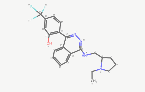 CCN1CCCC1CNc1nnc(-c2ccc(C(F)(F)F)cc2O)c2ccccc12